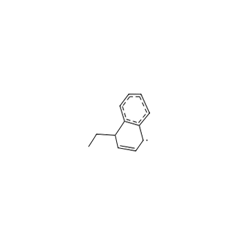 CCC1C=C[CH]c2ccccc21